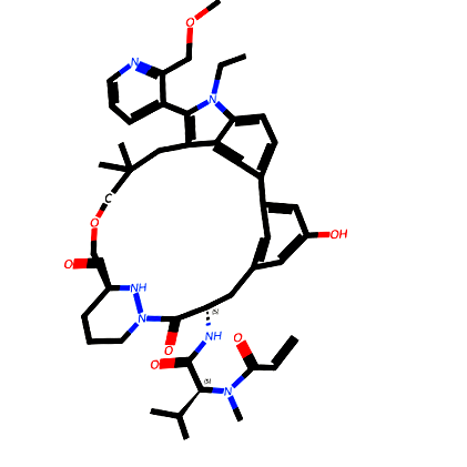 C=CC(=O)N(C)[C@H](C(=O)N[C@H]1Cc2cc(O)cc(c2)-c2ccc3c(c2)c(c(-c2cccnc2COC)n3CC)CC(C)(C)COCC2(C=O)CCCN(N2)C1=O)C(C)C